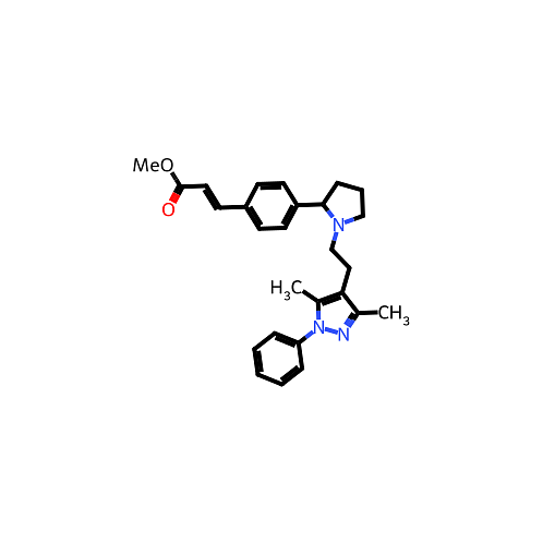 COC(=O)C=Cc1ccc(C2CCCN2CCc2c(C)nn(-c3ccccc3)c2C)cc1